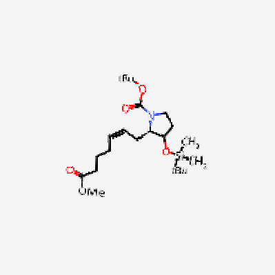 COC(=O)CCC/C=C\C[C@@H]1C(O[Si](C)(C)C(C)(C)C)CCN1C(=O)OC(C)(C)C